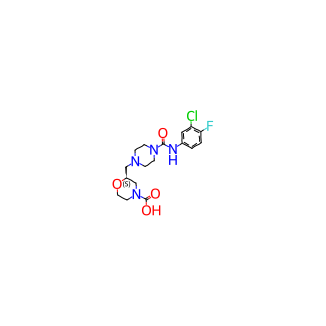 O=C(O)N1CCO[C@@H](CN2CCN(C(=O)Nc3ccc(F)c(Cl)c3)CC2)C1